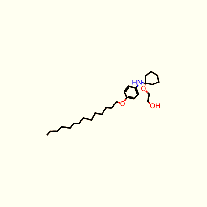 CCCCCCCCCCCCCCOc1ccc(NC2(OCCO)CCCCC2)cc1